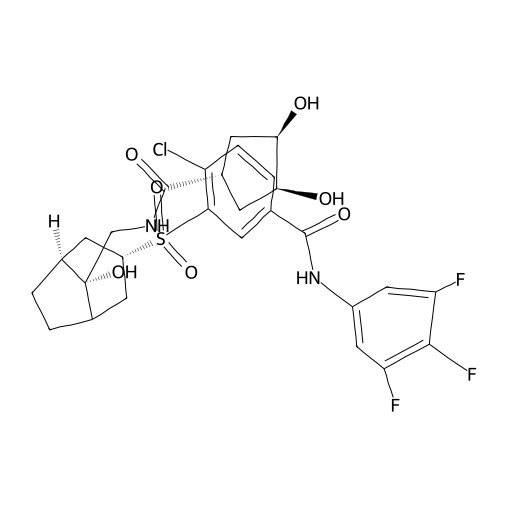 O=C(Nc1cc(F)c(F)c(F)c1)c1ccc(Cl)c(S(=O)(=O)[C@@H]2CC3CC[C@@H](C2)[C@@]3(O)CNC(=O)[C@@H]2C[C@@H](O)[C@@H](O)C2)c1